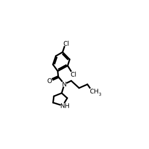 CCCCN(C(=O)c1ccc(Cl)cc1Cl)C1CCNC1